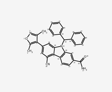 Cc1noc(C)c1-c1cc(C#N)c2c3ccc(C(N)=O)cc3n(C(c3ccccc3)c3ccccc3)c2c1